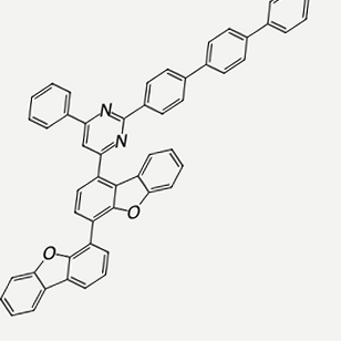 c1ccc(-c2cc(-c3ccc(-c4cccc5c4oc4ccccc45)c4oc5ccccc5c34)nc(-c3ccc(-c4ccc(-c5cccnc5)cc4)cc3)n2)cc1